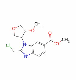 COC(=O)c1ccc2nc(CCl)n(C3COCC3OC)c2c1